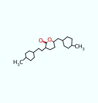 CC1CCC(CCC2CCC(CC3CCC(C)CC3)OC2=O)CC1